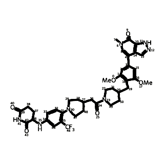 COc1cc(-c2cn(C)c(=O)c3[nH]ncc23)cc(OC)c1CC1CCN(C(=O)CC2CCN(c3ccc(NC4CCC(=O)NC4=O)cc3C(F)(F)F)CC2)CC1